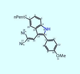 CCCCCc1ccc2[nH]c(-c3ccc(OC)cc3)c(C=C(C#N)C#N)c2c1